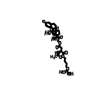 CC(=O)NC(CC(=O)OCC(=O)[C@@]1(O)CC[C@H]2[C@@H]3CCC4=CC(=O)C=C[C@]4(C)C3[C@@H](O)C[C@@]21C)C(=O)OCCCCON(O)O